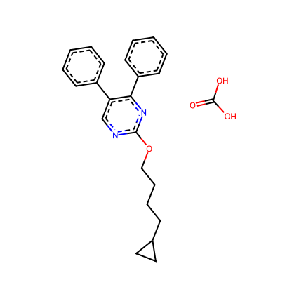 O=C(O)O.c1ccc(-c2cnc(OCCCCC3CC3)nc2-c2ccccc2)cc1